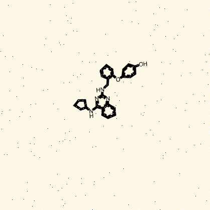 Oc1ccc(Oc2ccccc2CNc2nc(NC3CCCC3)c3ccccc3n2)cc1